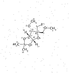 COC[C@@]1(CF)O[C@@H]2OC(C)(C)O[C@@H]2[C@@H]1OC